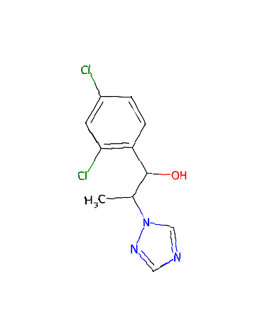 CC(C(O)c1ccc(Cl)cc1Cl)n1cncn1